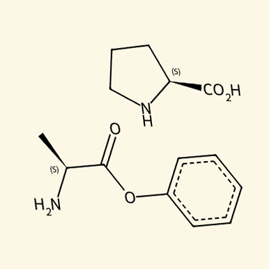 C[C@H](N)C(=O)Oc1ccccc1.O=C(O)[C@@H]1CCCN1